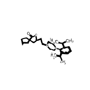 CC(C)c1cccc(C(C)C)c1N1CCN(CCC2CC3(CCCC3)C(=O)O2)CC1